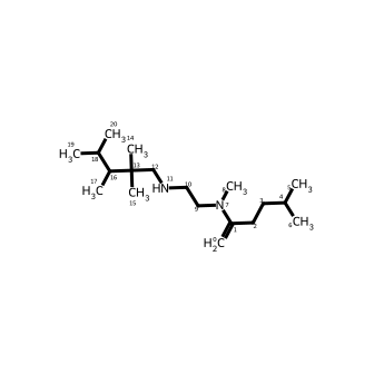 C=C(CCC(C)C)N(C)CCNCC(C)(C)C(C)C(C)C